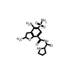 CCC(NC(=O)c1cc(S(N)(=O)=O)c(N)c2c1OC(C)C2)C1CCCN1